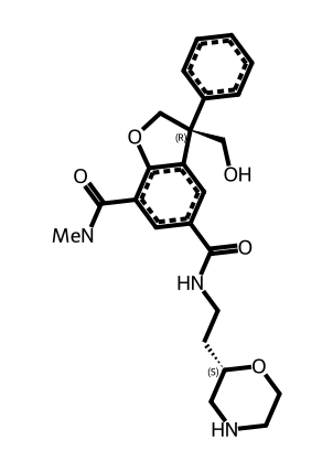 CNC(=O)c1cc(C(=O)NCC[C@H]2CNCCO2)cc2c1OC[C@]2(CO)c1ccccc1